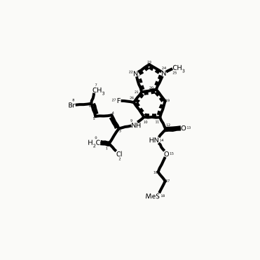 C=C(Cl)/C(=C\C=C(/C)Br)Nc1c(C(=O)NOCCSC)cc2c(ncn2C)c1F